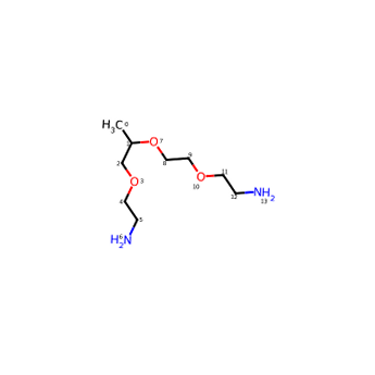 CC(COCCN)OCCOCCN